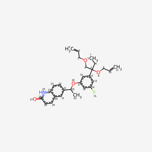 C=CCOCC(CC)(OCC=C)c1cc(F)cc(OC(C)c2ccc3[nH]c(=O)ccc3c2)c1